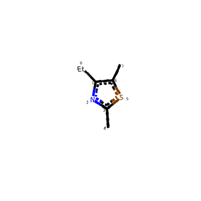 [CH2]Cc1nc(C)sc1C